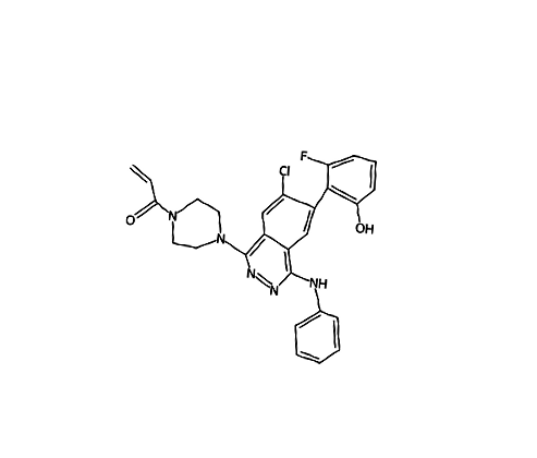 C=CC(=O)N1CCN(c2nnc(Nc3ccccc3)c3cc(-c4c(O)cccc4F)c(Cl)cc23)CC1